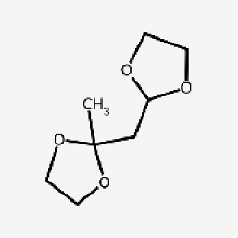 CC1(CC2OCCO2)OCCO1